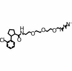 [N-]=[N+]=NCOCCOCCOCCNC(=O)C1CCCC1c1ccccc1Cl